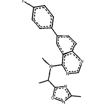 Cc1noc(C(C)N(C)c2ncnc3ccc(-c4ccc(F)cc4)cc23)n1